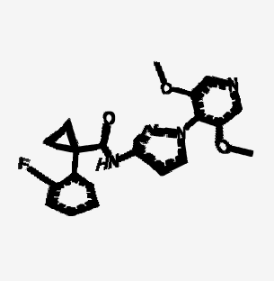 COc1cncc(OC)c1-n1ccc(NC(=O)C2(c3ccccc3F)CC2)n1